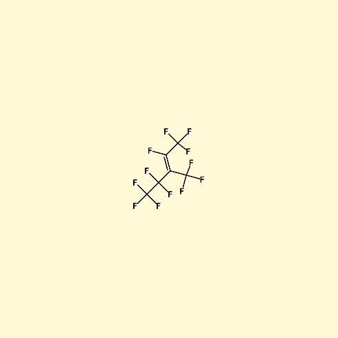 FC(=C(C(F)(F)F)C(F)(F)C(F)(F)F)C(F)(F)F